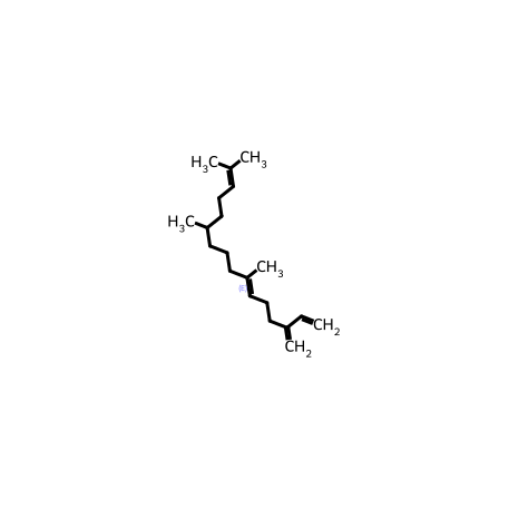 C=CC(=C)CC/C=C(\C)CCCC(C)CCC=C(C)C